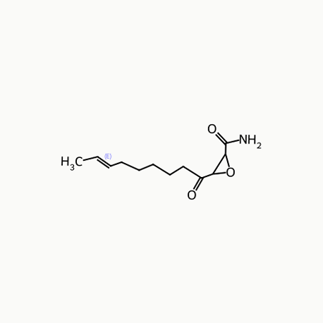 C/C=C/CCCCCC(=O)C1OC1C(N)=O